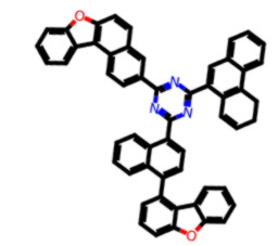 C1=Cc2c(-c3nc(-c4ccc5c(ccc6oc7ccccc7c65)c4)nc(-c4ccc(-c5cccc6oc7ccccc7c56)c5ccccc45)n3)cc3ccccc3c2CC1